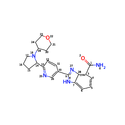 NC(=O)c1cccc2[nH]c(-c3ccc(C4CCCN4C4CCOCC4)nc3)nc12